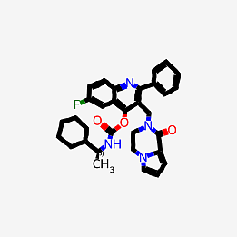 C[C@H](NC(=O)Oc1c(CN2CCn3cccc3C2=O)c(-c2ccccc2)nc2ccc(F)cc12)C1CCCCC1